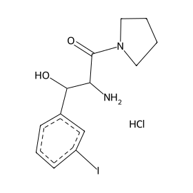 Cl.NC(C(=O)N1CCCC1)C(O)c1cccc(I)c1